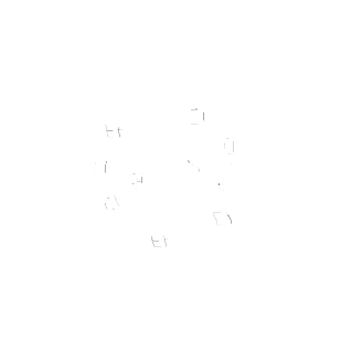 CCC1=C(CC)[Si](Cl)(Cl)C(CC)=C(CC)[Si]1(Cl)Cl